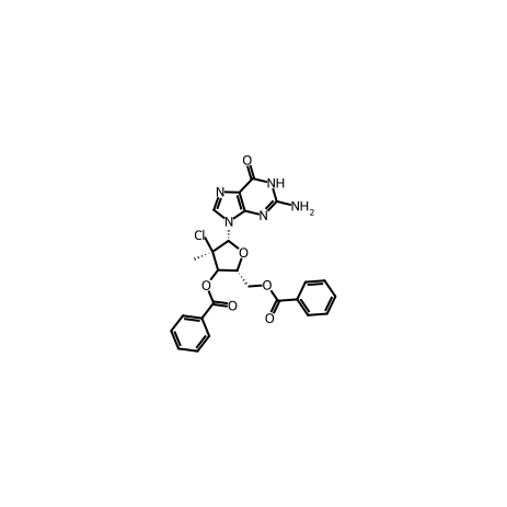 C[C@@]1(Cl)C(OC(=O)c2ccccc2)[C@@H](COC(=O)c2ccccc2)O[C@H]1n1cnc2c(=O)[nH]c(N)nc21